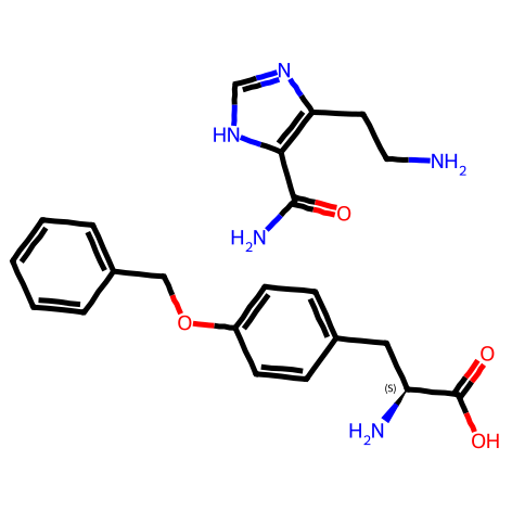 NCCc1nc[nH]c1C(N)=O.N[C@@H](Cc1ccc(OCc2ccccc2)cc1)C(=O)O